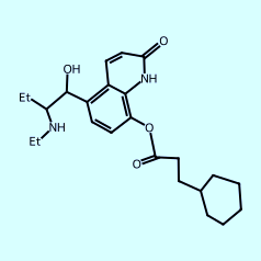 CCNC(CC)C(O)c1ccc(OC(=O)CCC2CCCCC2)c2[nH]c(=O)ccc12